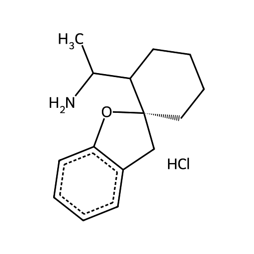 CC(N)C1CCCC[C@@]12Cc1ccccc1O2.Cl